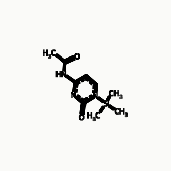 CC(=O)Nc1ccn([Si](C)(C)C)c(=O)n1